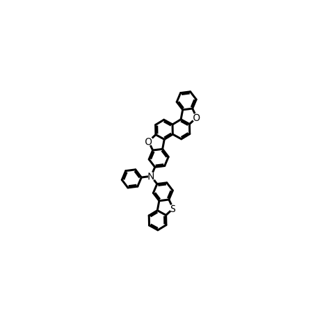 c1ccc(N(c2ccc3c(c2)oc2ccc4c(ccc5oc6ccccc6c54)c23)c2ccc3sc4ccccc4c3c2)cc1